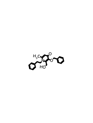 Cc1cc(=O)c(OCc2ccccc2)c(CO)n1CCc1ccccc1